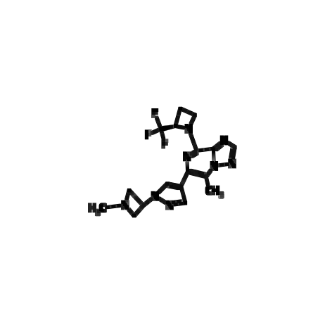 Cc1c(-c2cnn(C3CN(C)C3)c2)nc(N2CC[C@@H]2C(F)(F)F)c2ncnn12